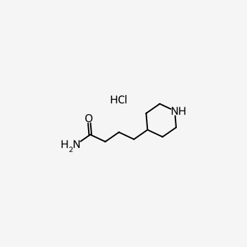 Cl.NC(=O)CCCC1CCNCC1